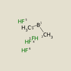 C[B]C.F.F.F.F